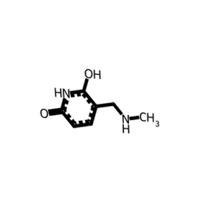 CNCc1ccc(=O)[nH]c1O